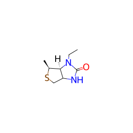 CCN1C(=O)NC2CS[C@@H](C)[C@H]21